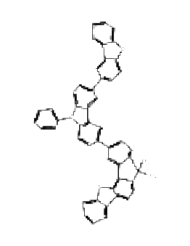 CC1(C)c2ccc(-c3ccc4c(c3)c3cc(-c5ccc6oc7ccccc7c6c5)ccc3n4-c3ccccc3)cc2-c2c1ccc1c2sc2ccccc21